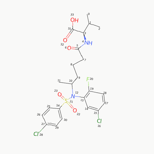 CC(C)[C@@H](NC(=O)CCCC(C)N(c1cc(Cl)ccc1F)S(=O)(=O)c1ccc(Cl)cc1)C(=O)O